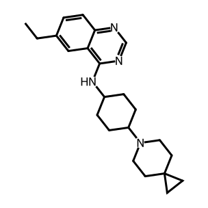 CCc1ccc2ncnc(NC3CCC(N4CCC5(CC4)CC5)CC3)c2c1